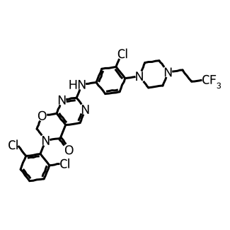 O=C1c2cnc(Nc3ccc(N4CCN(CCC(F)(F)F)CC4)c(Cl)c3)nc2OCN1c1c(Cl)cccc1Cl